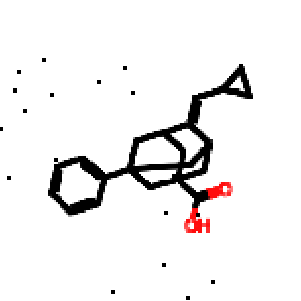 O=C(O)C12CC3CC(c4ccccc4)(CC(C1)C3=CC1CC1)C2